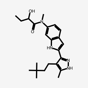 CCC(O)C(=O)N(C)c1ccc2cc(-c3n[nH]c(C)c3CCC(C)(C)C)[nH]c2c1